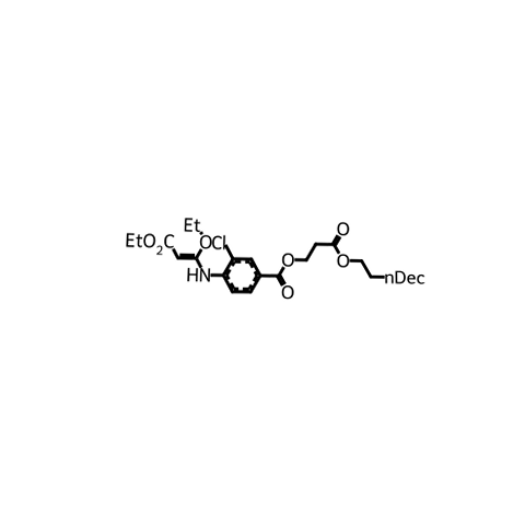 CCCCCCCCCCCCOC(=O)CCOC(=O)c1ccc(NC(=CC(=O)OCC)OCC)c(Cl)c1